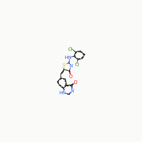 O=C1N=C(Nc2c(Cl)cccc2Cl)SC1=Cc1ccc2[nH]cnc(=O)c2c1